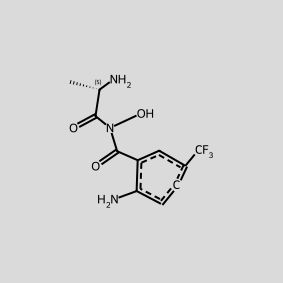 C[C@H](N)C(=O)N(O)C(=O)c1cc(C(F)(F)F)ccc1N